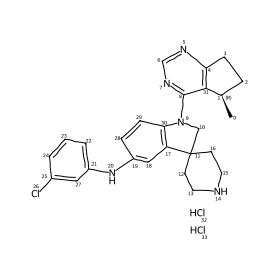 C[C@@H]1CCc2ncnc(N3CC4(CCNCC4)c4cc(Nc5cccc(Cl)c5)ccc43)c21.Cl.Cl